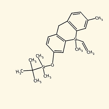 C=C[Si]1(C)c2cc(C)ccc2Cc2ccc(O[Si](C)(C)C(C)(C)C)cc21